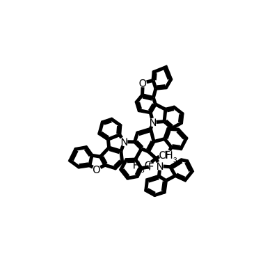 CC(C)(c1c(-c2ccccc2F)c(-n2c3ccccc3c3c4c(ccc32)oc2ccccc24)cc(-n2c3ccccc3c3c4c(ccc32)oc2ccccc24)c1-c1ccccc1F)n1c2ccccc2c2ccccc21